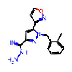 Cc1ccccc1Cn1nc(C(=N)NN)cc1-c1ccon1